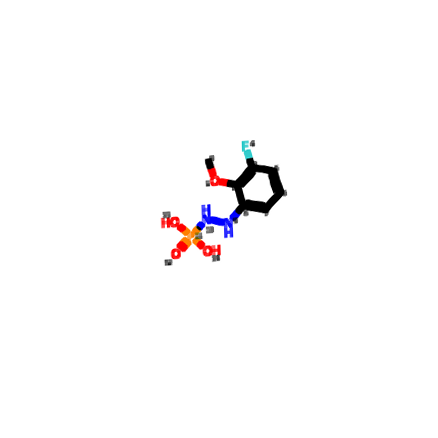 COc1c(F)cccc1NNP(=O)(O)O